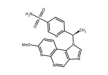 COc1ccc2c(ncc3ncn([C@H](C)c4ccc(S(N)(=O)=O)cn4)c32)n1